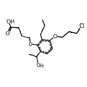 CCCc1c(OCCCCl)ccc(C(C)O)c1OCCCC(=O)O